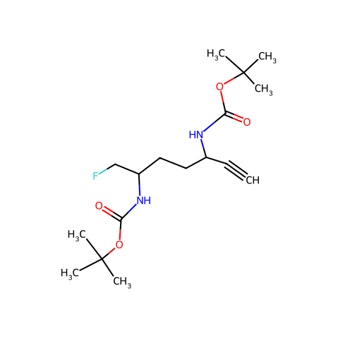 C#CC(CCC(CF)NC(=O)OC(C)(C)C)NC(=O)OC(C)(C)C